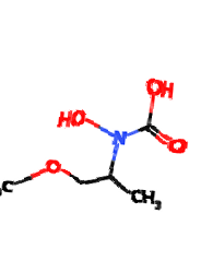 COCC(C)N(O)C(=O)O